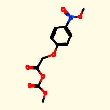 COC(=O)OC(=O)COc1ccc([N+](=O)OC)cc1